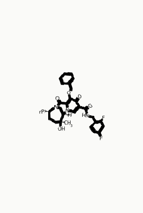 CCC[C@H]1CC[C@](C)(O)[C@H]2CN1C(=O)c1c(OCc3ccccc3)c(=O)c(C(=O)NCc3ccc(F)cc3F)cn12